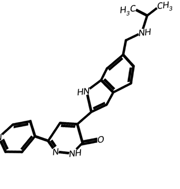 CC(C)NCc1ccc2cc(-c3cc(-c4ccncc4)n[nH]c3=O)[nH]c2c1